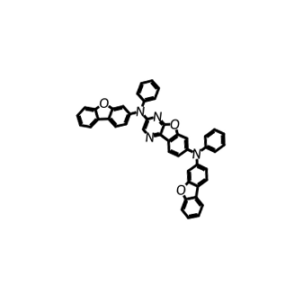 c1ccc(N(c2ccc3c(c2)oc2ccccc23)c2ccc3c(c2)oc2nc(N(c4ccccc4)c4ccc5c(c4)oc4ccccc45)cnc23)cc1